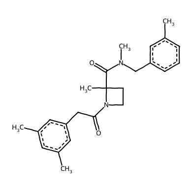 Cc1cc(C)cc(CC(=O)N2CCC2(C)C(=O)N(C)Cc2cccc(C)c2)c1